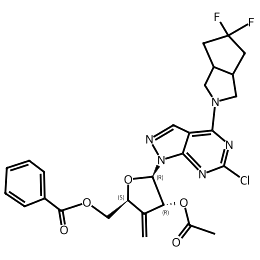 C=C1[C@@H](OC(C)=O)[C@H](n2ncc3c(N4CC5CC(F)(F)CC5C4)nc(Cl)nc32)O[C@@H]1COC(=O)c1ccccc1